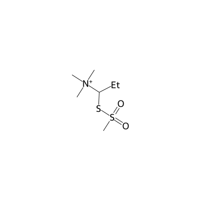 CCC(SS(C)(=O)=O)[N+](C)(C)C